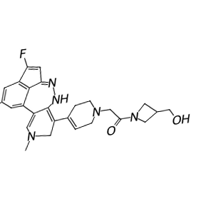 CN1C=C2C(=C(C3=CCN(CC(=O)N4CC(CO)C4)CC3)C1)NN=C1C=C(F)c3cc(F)cc2c31